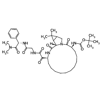 CN(C)C(=O)[C@@H](NC(=O)CNC(=O)C(=O)[C@@H]1CCCCCCCCCC[C@H](NC(=O)OC(C)(C)C)C(=O)N2CC3C([C@H]2C(=O)N1)C3(C)C)c1ccccc1